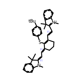 CN1/C(=C/C=C2\CCCC(/C=C/C3=[N+](C)c4ccccc4C3(C)C)=C2Sc2ccc(C(C)(C)C)cc2)C(C)(C)c2ccccc21